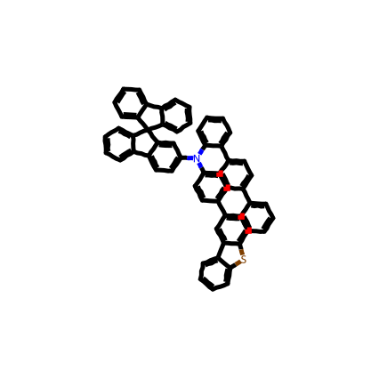 c1ccc(-c2ccc(-c3ccccc3N(c3ccc(-c4ccc5sc6ccccc6c5c4)cc3)c3ccc4c(c3)C3(c5ccccc5-c5ccccc53)c3ccccc3-4)cc2)cc1